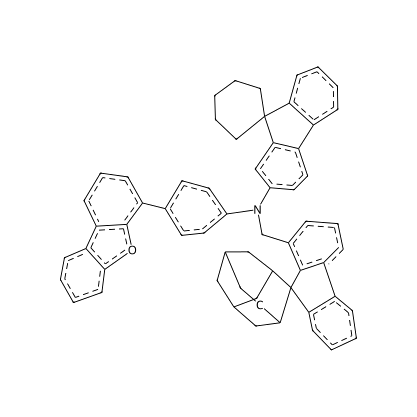 c1ccc2c(c1)-c1ccc(N(Cc3cccc4c3C3(c5ccccc5-4)C4CCC5CC(C4)CC3C5)c3ccc(-c4cccc5c4oc4ccccc45)cc3)cc1C21CCCCC1